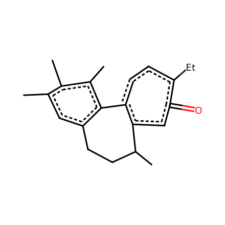 CCc1ccc2c(cc1=O)C(C)CCc1cc(C)c(C)c(C)c1-2